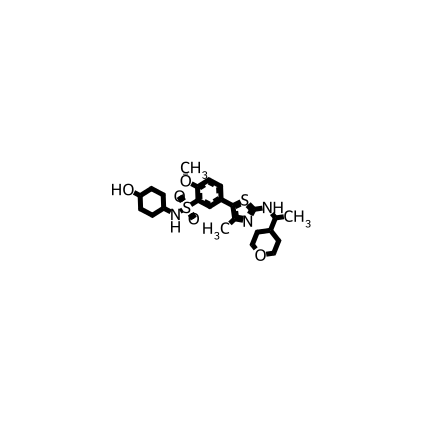 COc1ccc(-c2sc(NC(C)C3CCOCC3)nc2C)cc1S(=O)(=O)NC1CCC(O)CC1